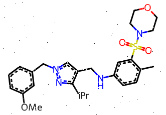 COc1cccc(Cn2cc(CNc3ccc(C)c(S(=O)(=O)N4CCOCC4)c3)c(C(C)C)n2)c1